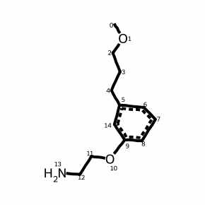 COCCCc1cccc(OCCN)c1